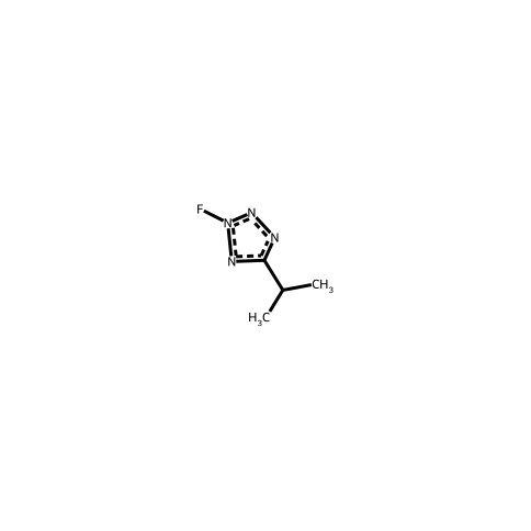 CC(C)c1nnn(F)n1